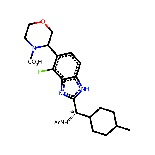 CC(=O)N[C@H](c1nc2c(F)c(C3COCCN3C(=O)O)ccc2[nH]1)C1CCC(C)CC1